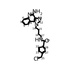 Nc1nc2ccccc2c2c1ncn2CCCCNC(=O)c1ccc(CCl)cc1